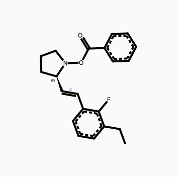 CCc1cccc(/C=C/[C@H]2CCCN2OC(=O)c2ccccc2)c1F